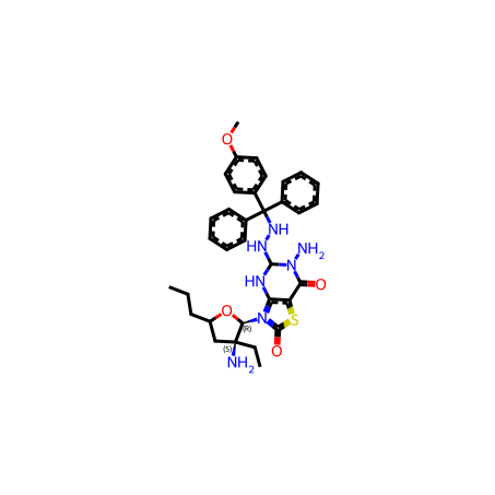 CCCC1C[C@@](N)(CC)[C@H](n2c3c(sc2=O)C(=O)N(N)C(NNC(c2ccccc2)(c2ccccc2)c2ccc(OC)cc2)N3)O1